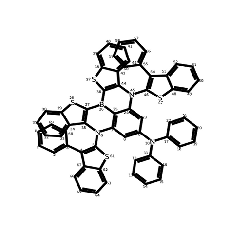 c1ccc(-c2c(N3c4cc(N(c5ccccc5)c5ccccc5)cc5c4B(c4sc6ccccc6c43)c3sc4ccccc4c3N5c3sc4ccccc4c3-c3ccccc3)sc3ccccc23)cc1